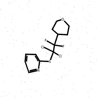 FC(F)(C1CCOCC1)C(Cl)(Cl)Sc1ccccn1